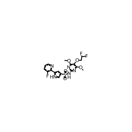 COc1nc(NS(=O)(=O)c2c[nH]c(-c3ncccc3F)c2)nc(OC)c1OCC(F)F